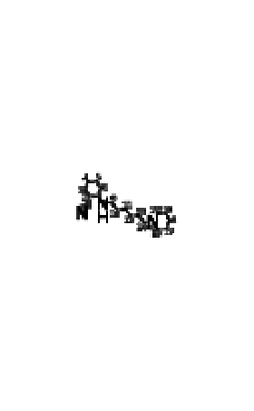 N#Cc1ccccc1NCCCCCCN1CCCCC1